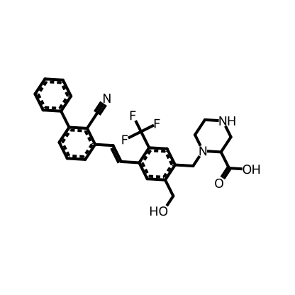 N#Cc1c(C=Cc2cc(CO)c(CN3CCNCC3C(=O)O)cc2C(F)(F)F)cccc1-c1ccccc1